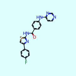 O=C(Nc1nc(-c2ccc(F)cc2)cs1)c1ccc(Nc2ccncn2)cc1